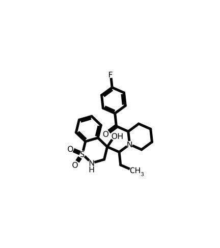 CCC(N1CCCCC1C(=O)c1ccc(F)cc1)C1(O)CNS(=O)(=O)c2ccccc21